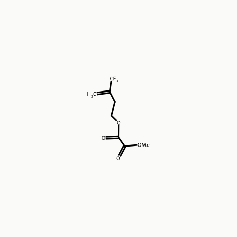 C=C(CCOC(=O)C(=O)OC)C(F)(F)F